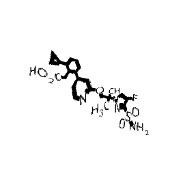 CC(C)(COc1cc(-c2cccc(C3CC3)c2CC(=O)O)ccn1)n1cc(F)c(S(N)(=O)=O)n1